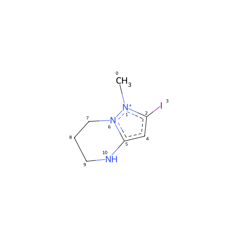 C[n+]1c(I)cc2n1CCCN2